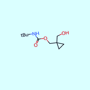 CC(C)(C)NC(=O)OCC1(CO)CC1